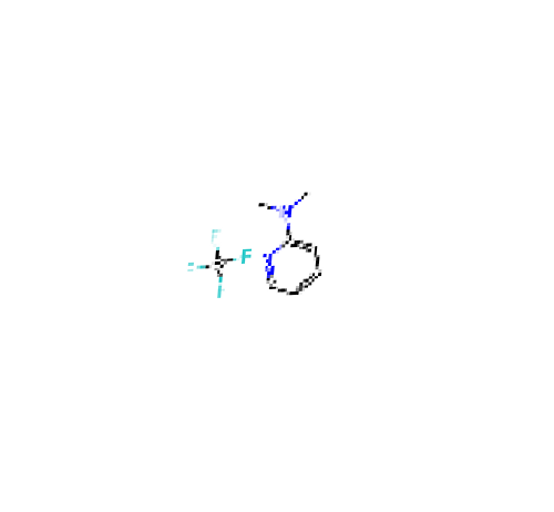 CN(C)c1ccccn1.F[B-](F)(F)F